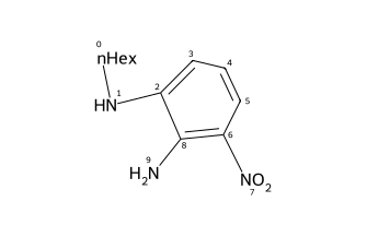 CCCCCCNc1cccc([N+](=O)[O-])c1N